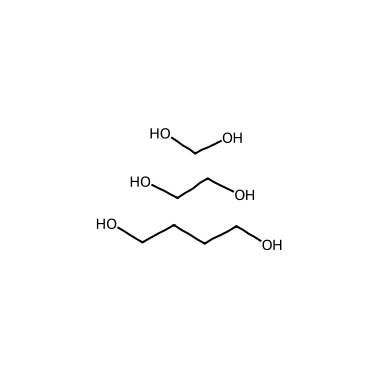 OCCCCO.OCCO.OCO